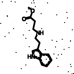 COC(=O)CCNCCc1c[nH]c2ccccc12